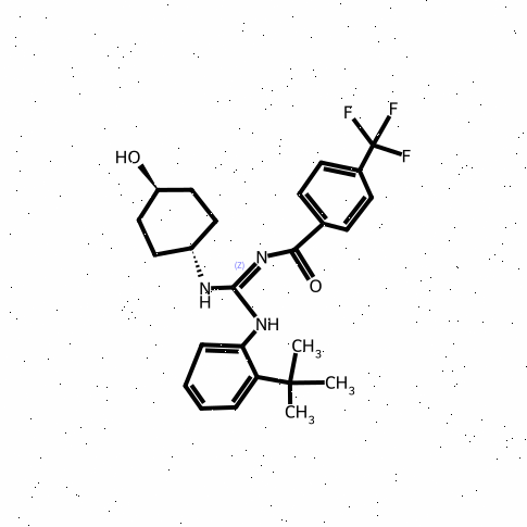 CC(C)(C)c1ccccc1N/C(=N\C(=O)c1ccc(C(F)(F)F)cc1)N[C@H]1CC[C@H](O)CC1